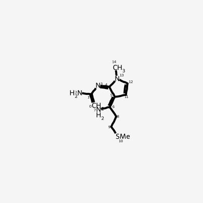 C=C(N)/N=C1\C(=C(/N)CCSC)C=CN1C